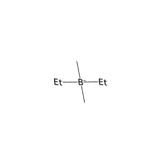 CC[B-](C)(C)CC